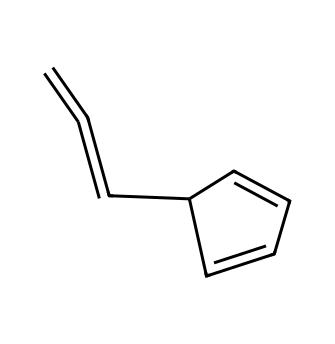 C=C=CC1C=CC=C1